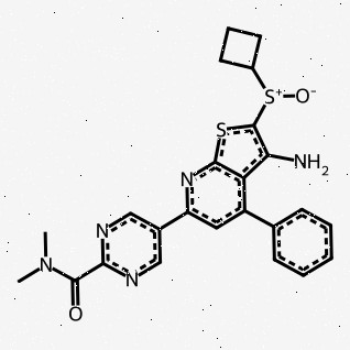 CN(C)C(=O)c1ncc(-c2cc(-c3ccccc3)c3c(N)c([S+]([O-])C4CCC4)sc3n2)cn1